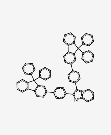 c1ccc(C2(c3ccccc3)c3ccccc3-c3ccc(-c4ccc(-c5nc6ccccn6c5-c5ccc(-c6ccc7c(c6)C(c6ccccc6)(c6ccccc6)c6ccccc6-7)cc5)cc4)cc32)cc1